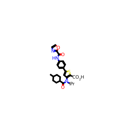 CC1CCC(C(=O)N(c2cc(-c3ccc(NC(=O)c4ncco4)cc3)sc2C(=O)O)C(C)C)CC1